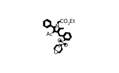 CCOC(=O)Cn1c(C)c(Cc2ccccc2S(=O)(=O)N2CCOCC2)c(C(C)=O)c1-c1ccccc1